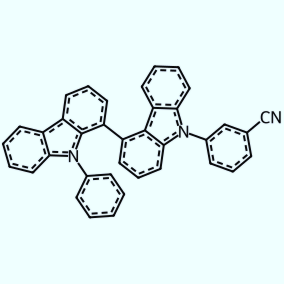 N#Cc1cccc(-n2c3ccccc3c3c(-c4cccc5c6ccccc6n(-c6ccccc6)c45)cccc32)c1